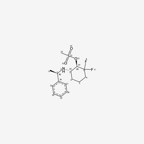 C[C@@H](N[C@H]1CCCC(F)(F)[C@@H]1OS(C)(=O)=O)c1ccccc1